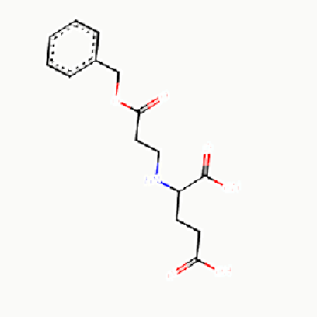 O=C(O)CCC(NCCC(=O)OCc1ccccc1)C(=O)O